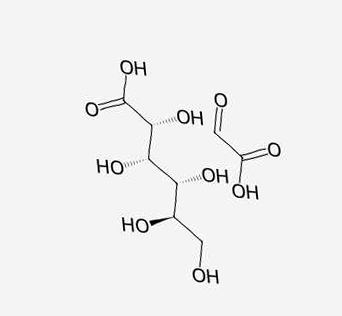 O=C(O)[C@H](O)[C@@H](O)[C@H](O)[C@H](O)CO.O=CC(=O)O